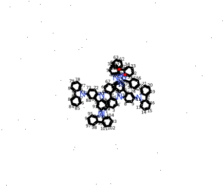 N#Cc1ccc(-n2c3ccc(-n4c5ccccc5c5ccccc54)cc3c3cc(-n4c5ccccc5c5ccccc54)ccc32)c(-c2cc(-c3nc(-c4ccccc4)nc(-c4ccccc4)n3)ccc2-n2c3ccc(-n4c5ccccc5c5ccccc54)cc3c3cc(-n4c5ccccc5c5ccccc54)ccc32)c1